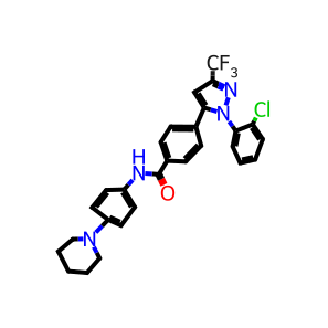 O=C(Nc1ccc(N2CCCCC2)cc1)c1ccc(-c2cc(C(F)(F)F)nn2-c2ccccc2Cl)cc1